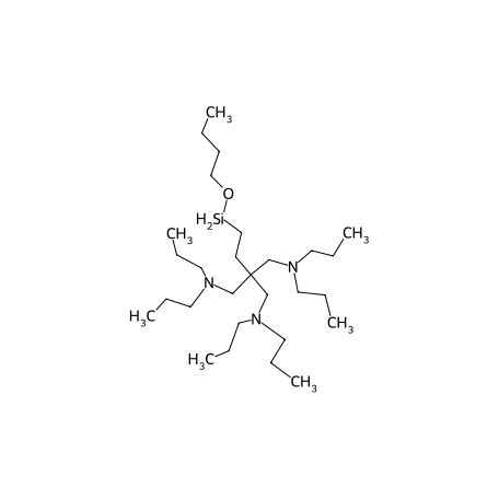 CCCCO[SiH2]CCC(CN(CCC)CCC)(CN(CCC)CCC)CN(CCC)CCC